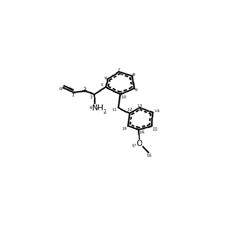 C=CCC(N)c1ccccc1Cc1cccc(OC)c1